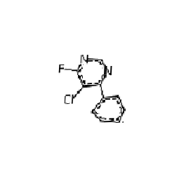 Fc1ncnc(-c2cc[c]cc2)c1Cl